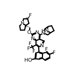 Oc1cc(-c2ncc3c(N4CC5CCC(C4)N5)nc(OC[C@]45CCCN4C[C@@H](F)C5)nc3c2C(F)(F)F)c2c(F)c(F)ccc2c1